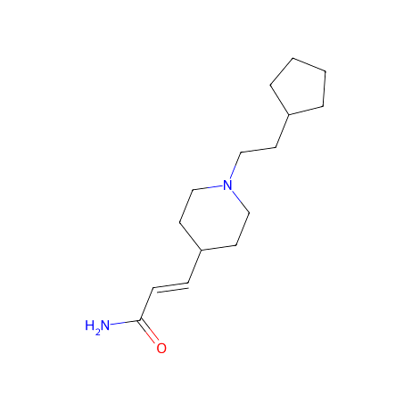 NC(=O)C=CC1CCN(CCC2CCCC2)CC1